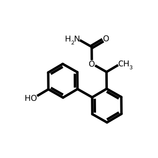 CC(OC(N)=O)c1ccccc1-c1cccc(O)c1